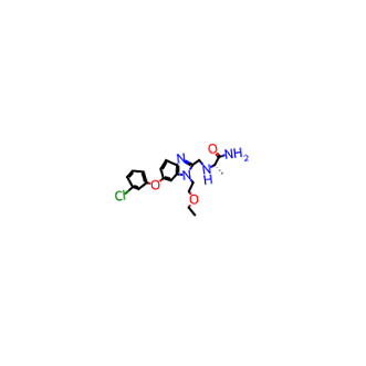 CCOCCn1c(CN[C@@H](C)C(N)=O)nc2ccc(Oc3cccc(Cl)c3)cc21